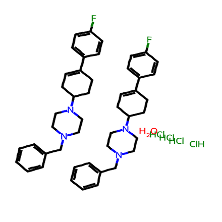 Cl.Cl.Cl.Cl.Fc1ccc(C2=CCC(N3CCN(Cc4ccccc4)CC3)CC2)cc1.Fc1ccc(C2=CCC(N3CCN(Cc4ccccc4)CC3)CC2)cc1.O